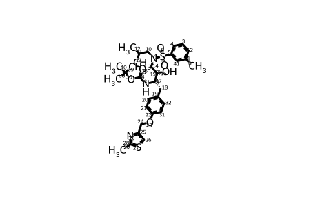 Cc1[c]ccc(S(=O)(=O)N(CC(C)C)C[C@@H](O)[C@H](Cc2ccc(OCc3csc(C)n3)cc2)NC(=O)OC(C)(C)C)c1